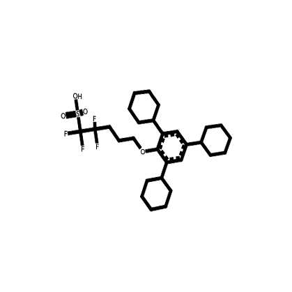 O=S(=O)(O)C(F)(F)C(F)(F)CCCOc1c(C2CCCCC2)cc(C2CCCCC2)cc1C1CCCCC1